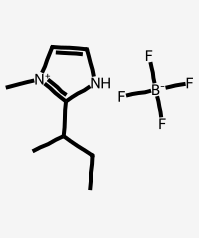 CCC(C)c1[nH]cc[n+]1C.F[B-](F)(F)F